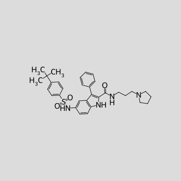 CC(C)(C)c1ccc(S(=O)(=O)Nc2ccc3[nH]c(C(=O)NCCCN4CCCC4)c(-c4ccccc4)c3c2)cc1